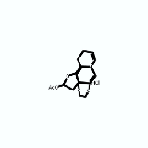 CC(=O)OC1CC23CCCCC2=CN2C=CCCC2=C3O1.Cl